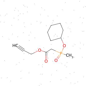 C#CCOC(=O)CP(C)(=O)OC1CCCCC1